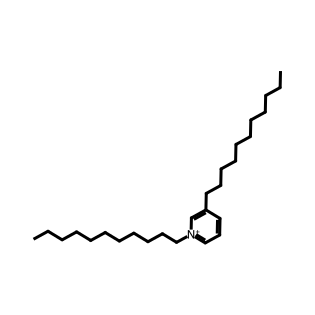 CCCCCCCCCCCc1ccc[n+](CCCCCCCCCCC)c1